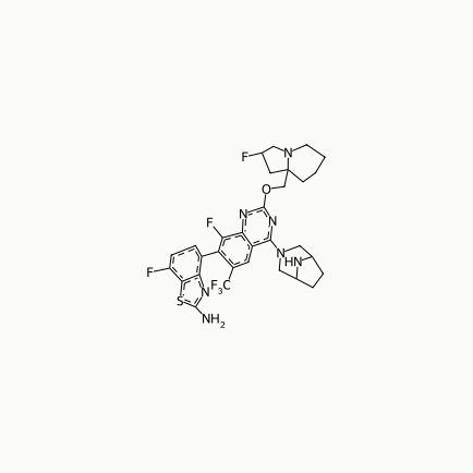 Nc1nc2c(-c3c(C(F)(F)F)cc4c(N5CC6CCC(C5)N6)nc(OCC56CCCCN5CC(F)C6)nc4c3F)ccc(F)c2s1